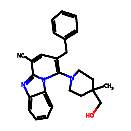 CC1(CO)CCN(c2c(Cc3ccccc3)cc(C#N)c3nc4ccccc4n23)CC1